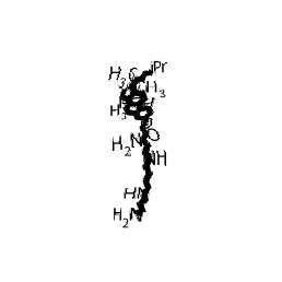 CC(C)CCC[C@@H](C)[C@H]1CC[C@H]2[C@@H]3CC=C4CC(OCC(=O)C(N)CCNCCCCNCCCN)CC[C@]4(C)[C@H]3CC[C@]12C